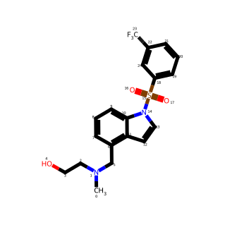 CN(CCO)Cc1cccc2c1ccn2S(=O)(=O)c1cccc(C(F)(F)F)c1